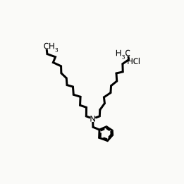 CCCCCCCCCCCCCCN(CCCCCCCCCCCC)Cc1ccccc1.Cl